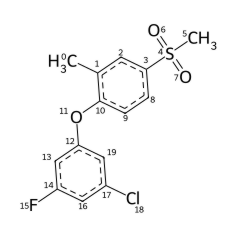 Cc1cc(S(C)(=O)=O)ccc1Oc1cc(F)cc(Cl)c1